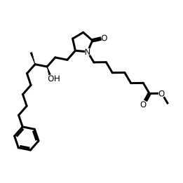 COC(=O)CCCCCCN1C(=O)CCC1CC[C@@H](O)[C@H](C)CCCCCc1ccccc1